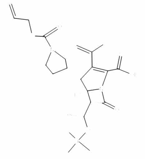 C=CCOC(=O)N1CCC[C@H]1/C=C(/C)C1=C(C(=O)O)N2C(=O)[C@H]([C@@H](C)O[Si](C)(C)C)[C@H]2C1